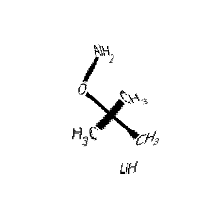 CC(C)(C)[O][AlH2].[LiH]